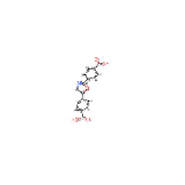 O=C(O)c1ccc(-c2cnc(-c3ccc(C(=O)O)cc3)o2)cc1